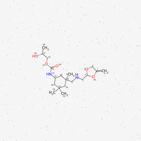 C=C1COC(CNCC2(C)CC(NC(=O)OCC(C)O)CC(C)(C)C2)O1